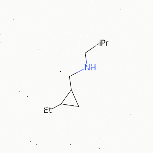 CCC1CC1CNCC(C)C